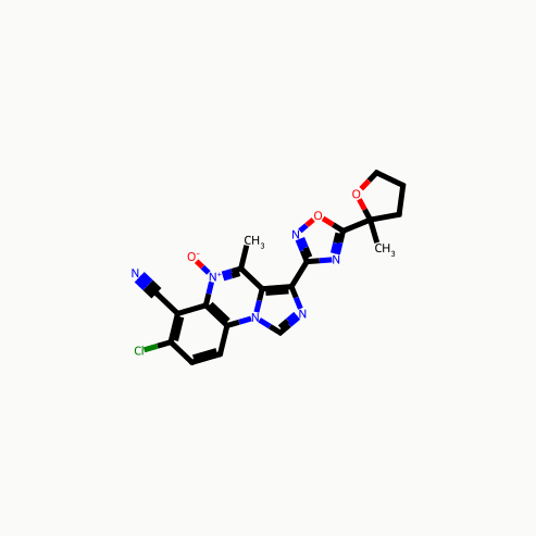 Cc1c2c(-c3noc(C4(C)CCCO4)n3)ncn2c2ccc(Cl)c(C#N)c2[n+]1[O-]